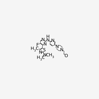 Cc1nc(N(C)C)sc1-c1nc(Nc2ccc(N3CCN(CC=O)CC3)cn2)ncc1F